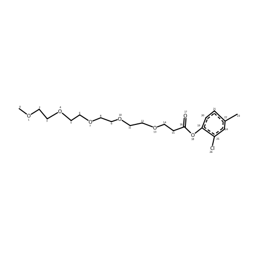 COCCOCCOCCOCCOCCC(=O)Oc1ccc(C)cc1Cl